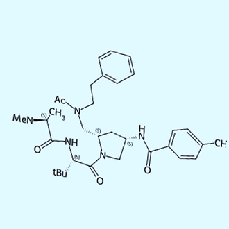 CN[C@@H](C)C(=O)N[C@H](C(=O)N1C[C@@H](NC(=O)c2ccc(C)cc2)C[C@H]1CN(CCc1ccccc1)C(C)=O)C(C)(C)C